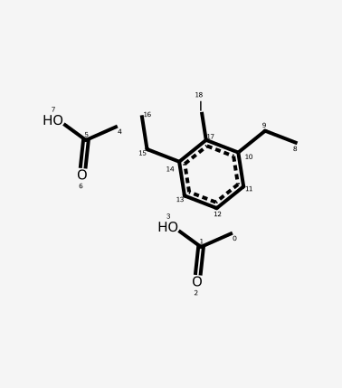 CC(=O)O.CC(=O)O.CCc1cccc(CC)c1I